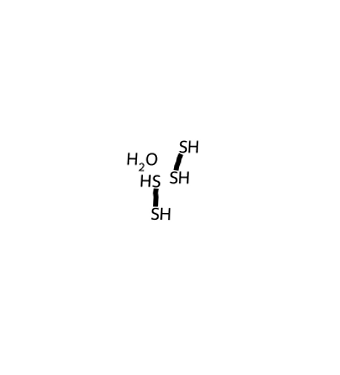 O.SS.SS